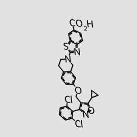 O=C(O)c1ccc2nc(N3CCc4ccc(OCc5c(-c6c(Cl)cccc6Cl)noc5C5CC5)cc4C3)sc2c1